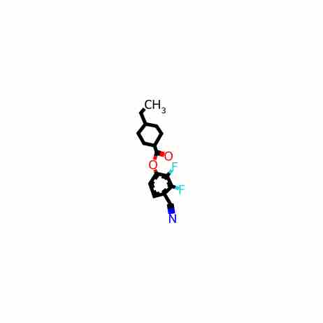 CCC1CCC(C(=O)Oc2ccc(C#N)c(F)c2F)CC1